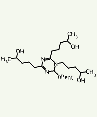 CCCCCC1N=C(CCCC(C)O)N=C(CCCC(C)O)N1CCCC(C)O